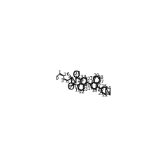 C/C=C\C=C/C(C)N1C(=O)c2cccc3c(-c4ccc(-c5ccncc5)c5ccccc45)ccc(c23)C1=O